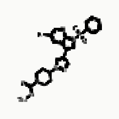 CC(C)(C)OC(=O)N1CCC(n2cc(-c3cn(S(=O)(=O)c4ccccc4)c4ncc(Br)cc34)cn2)CC1